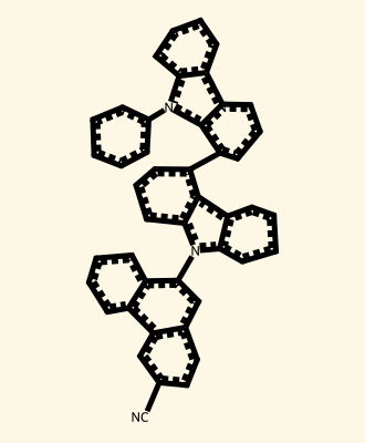 N#Cc1ccc2cc(-n3c4ccccc4c4c(-c5cccc6c7ccccc7n(-c7ccccc7)c56)cccc43)c3ccccc3c2c1